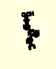 CCC(CC)n1cc(-c2nc(-c3cnn(C4CN(C(=O)O)C4)c3)cn3nccc23)cn1